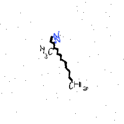 CCCCCCCCCCC(C)C1=N[N]C=C1